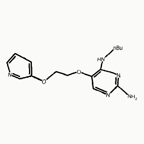 CCCCNc1nc(N)ncc1OCCOc1cccnc1